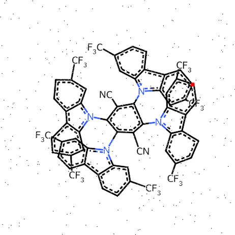 N#Cc1c(-n2c3cc(C(F)(F)F)ccc3c3ccc(C(F)(F)F)cc32)c(-n2c3cc(C(F)(F)F)ccc3c3ccc(C(F)(F)F)cc32)c(C#N)c(-n2c3cc(C(F)(F)F)ccc3c3ccc(C(F)(F)F)cc32)c1-n1c2cc(C(F)(F)F)ccc2c2ccc(C(F)(F)F)cc21